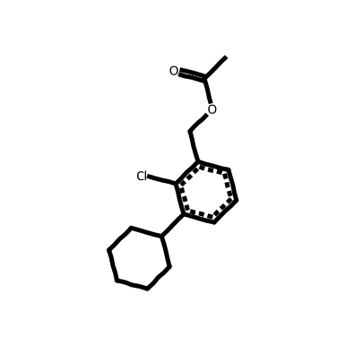 CC(=O)OCc1cccc(C2CCCCC2)c1Cl